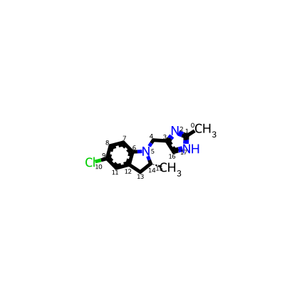 Cc1nc(CN2c3ccc(Cl)cc3C[C@H]2C)c[nH]1